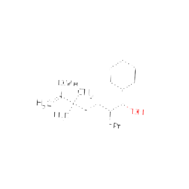 C=C(OC)C(C)(C)CCC(CCC)C(O)C1CCCCC1